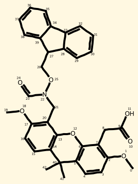 COc1ccc2c(c1CC(=O)O)Oc1c(ccc(OC)c1CN(C=O)OCC1c3ccccc3-c3ccccc31)C2(C)C